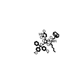 CCCCCCN(NC(=O)CC12CC3CC(CC(C3)C1)C2)O[C@@H]1[C@H](O)[C@@H](COC(c2ccccc2)(c2ccc(OC)cc2)c2ccc(OC)cc2)O[C@H]1n1ccc(=O)[nH]c1=O